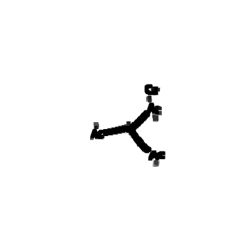 CC(=O)C(C(C)=O)C(C)=O.[Cu]